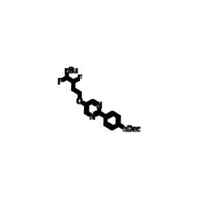 CCCCCCCCCCc1ccc(-c2ncc(OCCC(F)C(F)CCCC)cn2)cc1